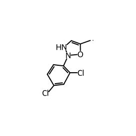 [CH2]C1=CNN(c2ccc(Cl)cc2Cl)O1